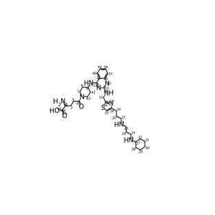 N[C@@H](CCC(=O)N1CCC(Nc2nc(NCc3nc(CCCNCCCNC4CCCCC4)cs3)nc3ccccc23)CC1)C(=O)O